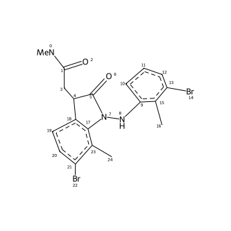 CNC(=O)CC1C(=O)N(Nc2cccc(Br)c2C)c2c1ccc(Br)c2C